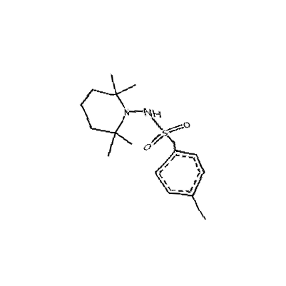 Cc1ccc(S(=O)(=O)NN2C(C)(C)CCCC2(C)C)cc1